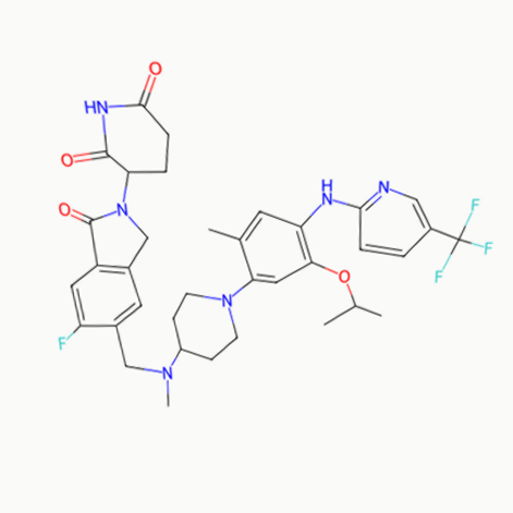 Cc1cc(Nc2ccc(C(F)(F)F)cn2)c(OC(C)C)cc1N1CCC(N(C)Cc2cc3c(cc2F)C(=O)N(C2CCC(=O)NC2=O)C3)CC1